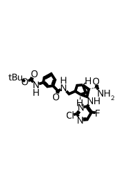 CC(C)(C)OC(=O)Nc1cccc(C(=O)NCC2C[C@@H]3C[C@H]2[C@@H](Nc2nc(Cl)ncc2F)[C@H]3C(N)=O)c1